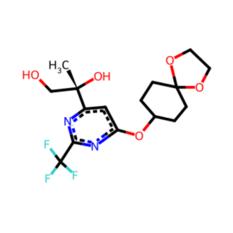 C[C@](O)(CO)c1cc(OC2CCC3(CC2)OCCO3)nc(C(F)(F)F)n1